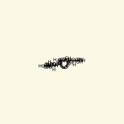 CC[C@H](C)[C@@H]1NC(=O)[C@H](CC(C)C)NC(=O)C2(CCN(C(=O)CCCC(=O)NCC[C@@H](O)[C@H](O)[C@H](O)CO)CC2)NC(=O)CCSCc2cccc(n2)CSC[C@@](C=O)(CNC2CCN(CC(=O)N[C@H](CCC(=O)NC[C@H](O)[C@@H](O)[C@H](O)[C@H](O)CO)C(N)=O)CC2)NC1=O